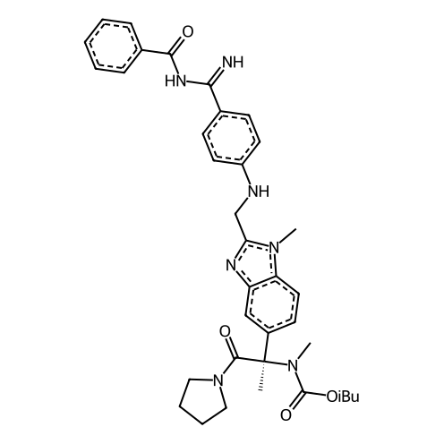 CC(C)COC(=O)N(C)[C@@](C)(C(=O)N1CCCC1)c1ccc2c(c1)nc(CNc1ccc(C(=N)NC(=O)c3ccccc3)cc1)n2C